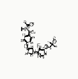 COC(C)(C)COc1ncnc(N2CC[C@@H](Oc3ccc([C@H](C)NC(C)=O)cc3)C2)c1F